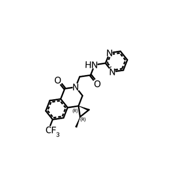 C[C@@H]1C[C@@]12CN(CC(=O)Nc1ncccn1)C(=O)c1ccc(C(F)(F)F)cc12